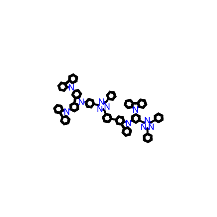 c1ccc(-c2nc(-c3ccc(-n4c5ccc(-n6c7ccccc7c7ccccc76)cc5c5cc(-n6c7ccccc7c7ccccc76)ccc54)cc3)nc(-c3cccc(-c4ccc5c(c4)c4ccccc4n5-c4cc(-c5nc(-c6ccccc6)nc(-c6ccccc6)n5)cc(-n5c6ccccc6c6ccccc65)c4)c3)n2)cc1